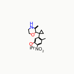 C=C1NCCOC1C1(c2cc(OC(C)C)c([N+](=O)[O-])cc2C)CC1